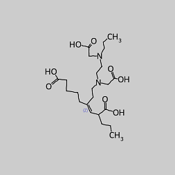 CCCC(/C=C(/CCCCC(=O)O)CCN(CCN(CCC)CC(=O)O)CC(=O)O)C(=O)O